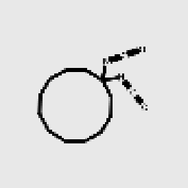 O=C=NC1(N=C=O)CCCCCCCCCCC1